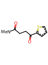 CNC(=O)CCC(=O)c1cccs1